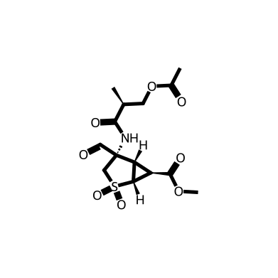 COC(=O)[C@@H]1[C@@H]2[C@H]1S(=O)(=O)C[C@]2(C=O)NC(=O)[C@@H](C)COC(C)=O